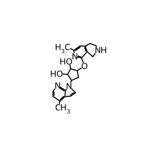 Cc1cc2c(c(OC3CC(n4ccc5c(C)ccnc54)C(O)C3O)n1)CNCC2